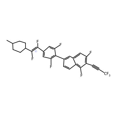 CC1CCC(/C(F)=C(\F)c2cc(F)c(-c3ccc4c(F)c(C#CC(F)(F)F)c(F)cc4c3)c(F)c2)CC1